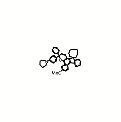 COc1ccc2c3c(c4c(c2c1)OC(c1ccccc1)(c1ccc(N2CCCCC2)cc1)C=C4)C1(CCCCCCC1)c1ccccc1-3